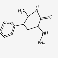 CC1NC(=O)C(NP)CC1c1ccccc1